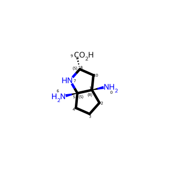 N[C@@]12CCC[C@]1(N)N[C@H](C(=O)O)C2